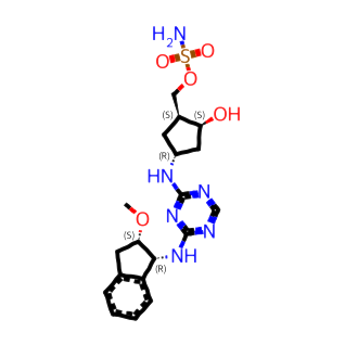 CO[C@H]1Cc2ccccc2[C@H]1Nc1ncnc(N[C@@H]2C[C@@H](COS(N)(=O)=O)[C@@H](O)C2)n1